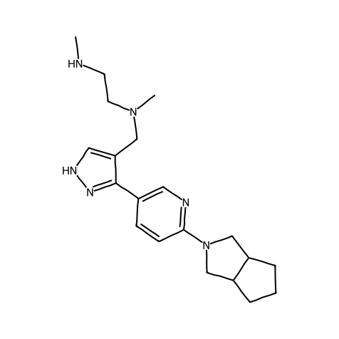 CNCCN(C)Cc1c[nH]nc1-c1ccc(N2CC3CCCC3C2)nc1